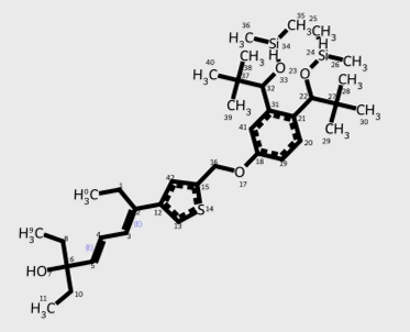 CC/C(=C\C=C\C(O)(CC)CC)c1csc(COc2ccc(C(O[SiH](C)C)C(C)(C)C)c(C(O[SiH](C)C)C(C)(C)C)c2)c1